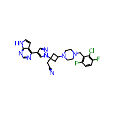 N#CCC1(n2cc(-c3ncnc4[nH]ccc34)cn2)CC(N2CCN(Cc3c(F)ccc(F)c3Cl)CC2)C1